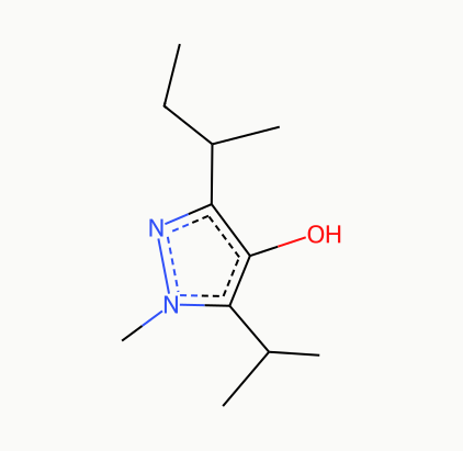 CCC(C)c1nn(C)c(C(C)C)c1O